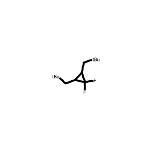 CC(C)(C)CC1C(CC(C)(C)C)C1(F)F